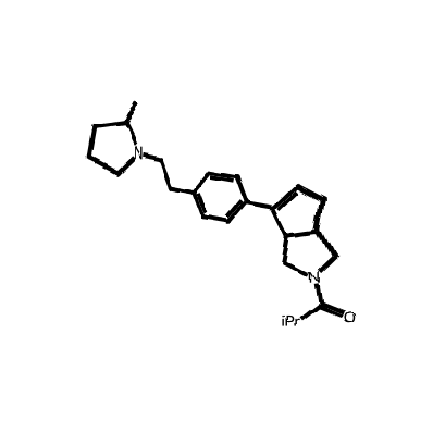 CC(C)C(=O)N1CC2CC=C(c3ccc(CCN4CCCC4C)cc3)C2C1